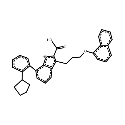 O=C(O)c1[nH]c2c(-c3ccccc3C3CCCC3)cccc2c1CCCOc1cccc2ccccc12